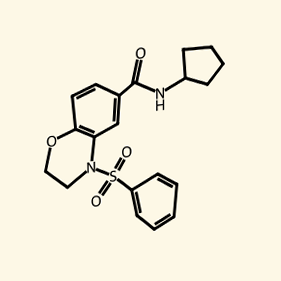 O=C(NC1CCCC1)c1ccc2c(c1)N(S(=O)(=O)c1ccccc1)CCO2